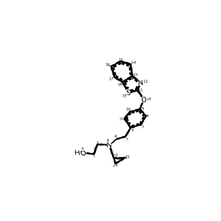 OCCN(CCc1ccc(Oc2nc3ccccc3s2)cc1)C1CC1